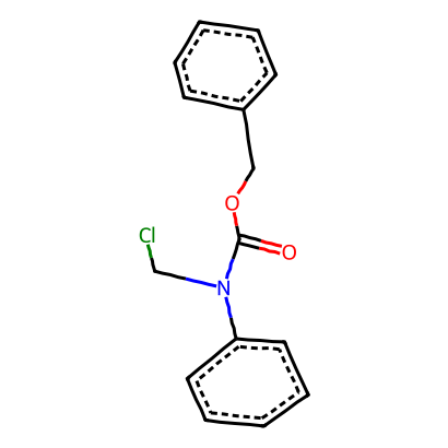 O=C(OCc1ccccc1)N(CCl)c1ccccc1